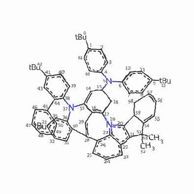 CC(C)(C)c1ccc(N(c2ccc(C(C)(C)C)cc2)C2C=C3C4=C(C2)n2c5c(c6cccc(c62)C(=C4)c2ccc(C(C)(C)C)cc2N3c2ccc(C(C)(C)C)cc2-c2ccccc2)C(C)(C)C2=CC=CCC25)cc1